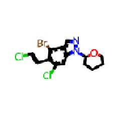 ClC=Cc1c(Cl)cc2c(cnn2C2CCCCO2)c1Br